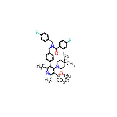 CCOC(=O)[C@@H](OC(C)(C)C)c1c(C)nc(C)c(-c2ccc(CN(Cc3ccc(F)cc3)C(=O)c3ccc(F)cc3)cc2)c1N1CCC(C)(C)CC1